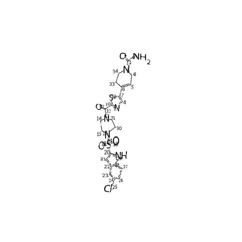 NC(=O)N1CC=C(c2cnc(C(=O)N3CCN(S(=O)(=O)c4cc5cc(Cl)ccc5[nH]4)CC3)s2)CC1